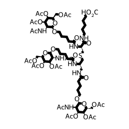 CC(=O)N[C@H]1[C@H](OCCCCC(=O)NC[C@@H](CSC[C@H](NC(=O)CCCCO[C@@H]2O[C@H](COC(C)=O)[C@H](OC(C)=O)[C@H](OC(C)=O)[C@H]2NC(C)=O)C(=O)NCCCCCC(=O)O)NC(=O)CCCCO[C@@H]2O[C@H](COC(C)=O)[C@H](OC(C)=O)[C@H](OC(C)=O)[C@H]2NC(C)=O)O[C@H](COC(C)=O)[C@H](OC(C)=O)[C@@H]1OC(C)=O